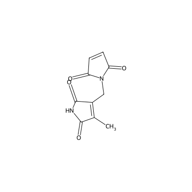 CC1=C(CN2C(=O)C=CC2=O)C(=O)NC1=O